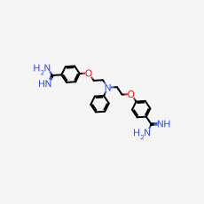 N=C(N)c1ccc(OCCN(CCOc2ccc(C(=N)N)cc2)c2ccccc2)cc1